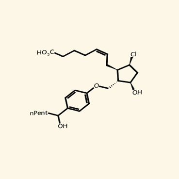 CCCCCC(O)c1ccc(OC[C@@H]2[C@@H](C/C=C\CCCC(=O)O)[C@@H](Cl)C[C@H]2O)cc1